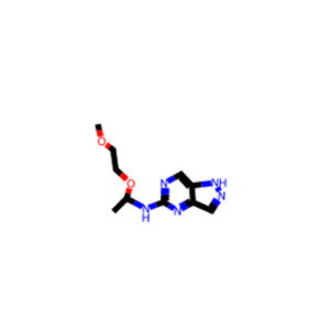 COCCOC(C)Nc1ncc2[nH]ncc2n1